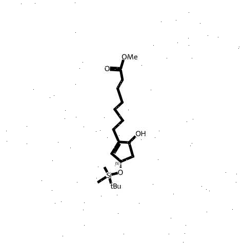 COC(=O)CCCCCCC1=C[C@@H](O[Si](C)(C)C(C)(C)C)CC1O